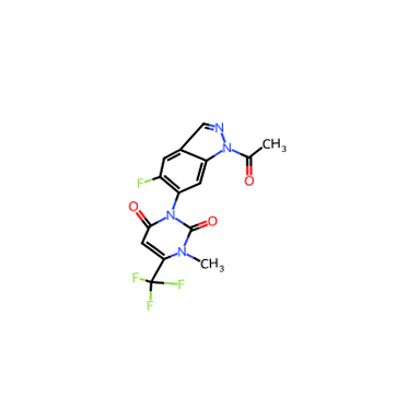 CC(=O)n1ncc2cc(F)c(-n3c(=O)cc(C(F)(F)F)n(C)c3=O)cc21